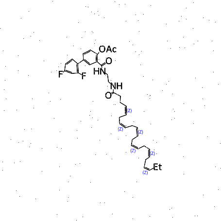 CC/C=C\C/C=C\C/C=C\C/C=C\C/C=C\C/C=C\CCC(=O)NCCNC(=O)c1cc(-c2ccc(F)cc2F)ccc1OC(C)=O